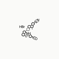 Br.Cc1cc2cc(N3CCN(C)CC3)ccc2c2ccc3c(c12)CCC(c1ccc2ccccc2c1NC(=O)c1ccc(N2CCOCC2)cc1)C3